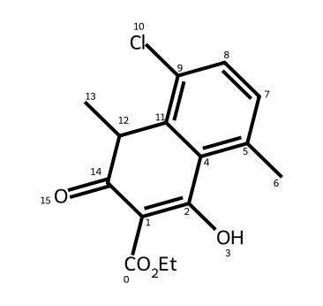 CCOC(=O)C1=C(O)c2c(C)ccc(Cl)c2C(C)C1=O